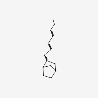 CCC=CC=CC=C1CC2CCC1C2